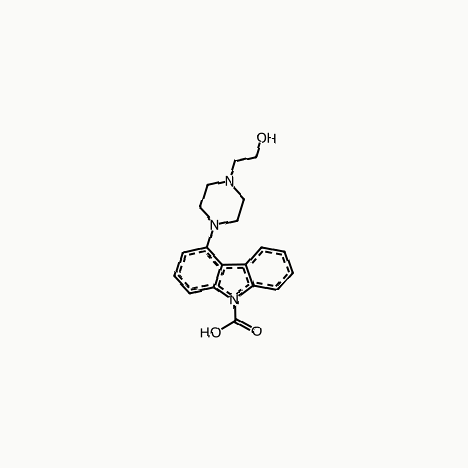 O=C(O)n1c2ccccc2c2c(N3CCN(CCO)CC3)cccc21